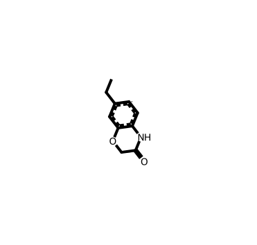 CCc1[c]cc2c(c1)OCC(=O)N2